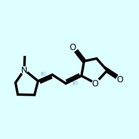 CN1CCC/C1=C\C=C1\OC(=O)CC1=O